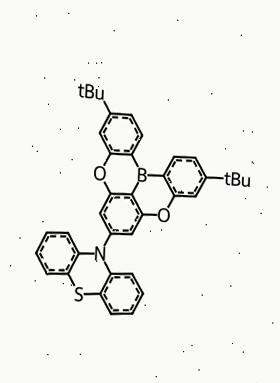 CC(C)(C)c1ccc2c(c1)Oc1cc(N3c4ccccc4Sc4ccccc43)cc3c1B2c1ccc(C(C)(C)C)cc1O3